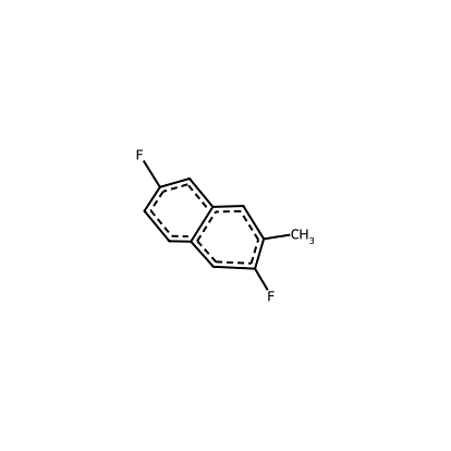 Cc1cc2cc(F)ccc2cc1F